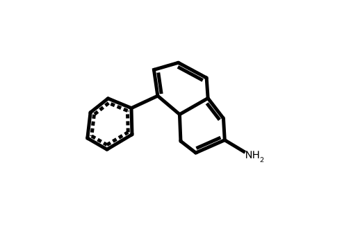 NC1=CCC2C(=C1)C=CC=C2c1ccccc1